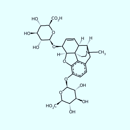 CN1CC[C@]23c4c5ccc(O[C@@H]6O[C@H](C(=O)O)[C@@H](O)[C@H](O)[C@H]6O)c4O[C@H]2[C@@H](O[C@@H]2O[C@H](C(=O)O)[C@@H](O)[C@H](O)[C@H]2O)C=C[C@H]3[C@H]1C5